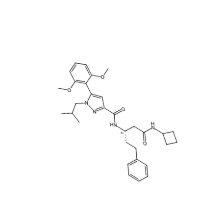 COc1cccc(OC)c1-c1cc(C(=O)N[C@@H](CCc2ccccc2)CC(=O)NC2CCC2)nn1CC(C)C